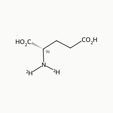 [2H]N([2H])[C@@H](CCC(=O)O)C(=O)O